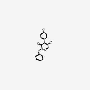 O=c1c(-c2ccc(Cl)cc2)c(Cl)cnn1Cc1ccccc1